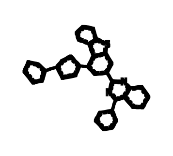 c1ccc(-c2ccc(-c3cc(-c4nc(-c5ccccc5)c5ccccc5n4)cc4sc5ccccc5c34)cc2)cc1